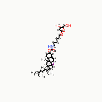 CC(C)CCC[C@H](C)[C@H]1CCC2(I)C3CC=C4C[C@@H](OC(=O)NCCCCCCOC5CC(O)[C@@H](CO)O5)CCC4(C)C3(I)CCC12C